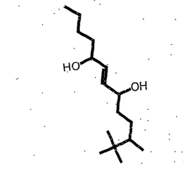 CCCCC(O)C=CC(O)CCC(C)C(C)(C)C